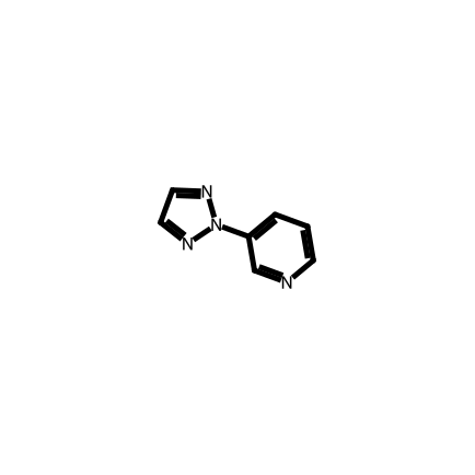 c1cncc(-n2nccn2)c1